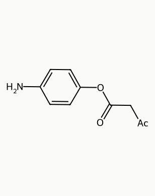 CC(=O)CC(=O)Oc1ccc(N)cc1